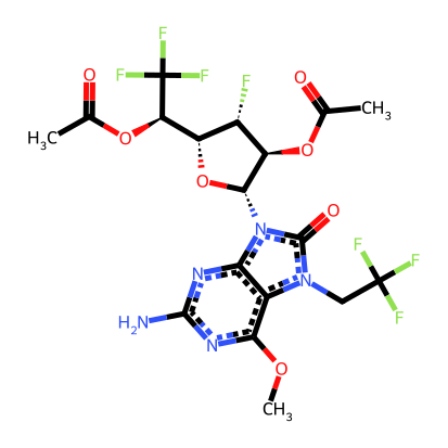 COc1nc(N)nc2c1n(CC(F)(F)F)c(=O)n2[C@@H]1O[C@H]([C@@H](OC(C)=O)C(F)(F)F)[C@H](F)[C@H]1OC(C)=O